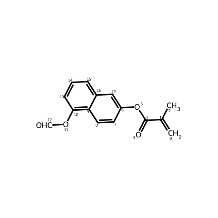 C=C(C)C(=O)Oc1ccc2c(OC=O)cccc2c1